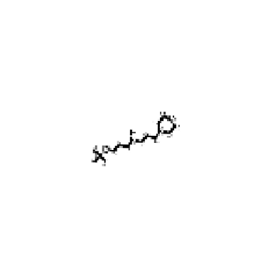 CC(C)(C)OCCCNCCCN1CCOCC1